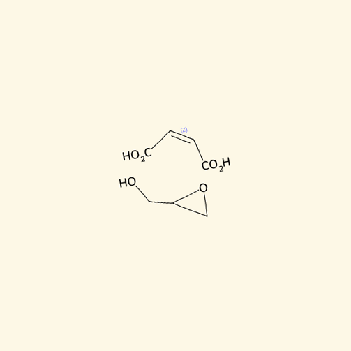 O=C(O)/C=C\C(=O)O.OCC1CO1